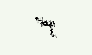 CC(C)(C)OC(=O)Nc1noc2cc(-c3nn(CCCCN)c4ncnc(N)c34)ccc12